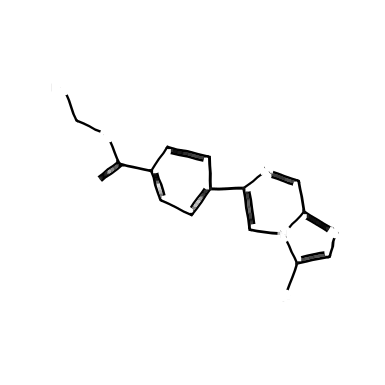 CCOC(=O)c1ccc(-c2cn3c(Br)cnc3cn2)cc1